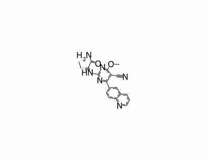 CC[C@@H](Nc1nc(OC)c(C#N)c(-c2ccc3ncccc3c2)n1)C(N)=O